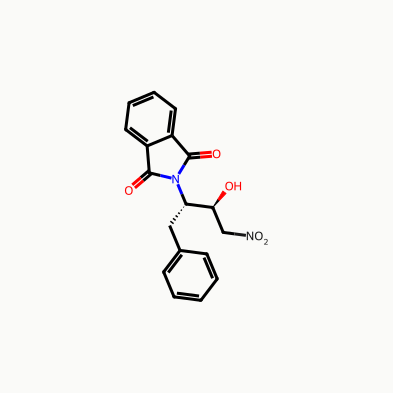 O=C1c2ccccc2C(=O)N1[C@@H](Cc1ccccc1)[C@@H](O)C[N+](=O)[O-]